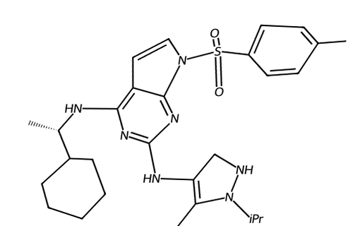 CC1=C(Nc2nc(N[C@@H](C)C3CCCCC3)c3ccn(S(=O)(=O)c4ccc(C)cc4)c3n2)CNN1C(C)C